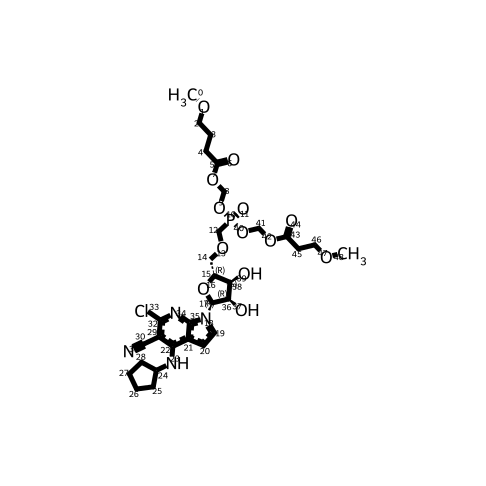 COCCCC(=O)OCOP(=O)(COC[C@H]1O[C@@H](n2ccc3c(NC4CCCC4)c(C#N)c(Cl)nc32)[C@H](O)[C@@H]1O)OCOC(=O)CCOC